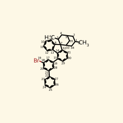 CC1CC2CC(C)C3(c4ccccc4-c4c(-c5cc(Br)cc(-c6ccccc6)c5)cccc43)C(C1)C2